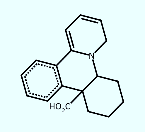 O=C(O)C12CCCCC1N1CC=CC=C1c1ccccc12